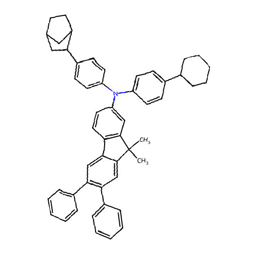 CC1(C)c2cc(N(c3ccc(C4CCCCC4)cc3)c3ccc(C4CC5CCC4C5)cc3)ccc2-c2cc(-c3ccccc3)c(-c3ccccc3)cc21